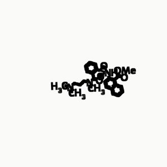 COC(=O)c1c(NS(=O)(=O)c2ccccc2C(=O)N(C)CCCN(C)C)ccc2ccccc12